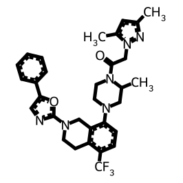 Cc1cc(C)n(CC(=O)N2CCN(c3ccc(C(F)(F)F)c4c3CN(c3ncc(-c5ccccc5)o3)CC4)CC2C)n1